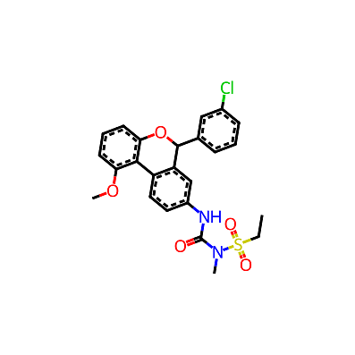 CCS(=O)(=O)N(C)C(=O)Nc1ccc2c(c1)C(c1cccc(Cl)c1)Oc1cccc(OC)c1-2